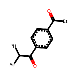 [2H]C(C(C)=O)C(=O)c1ccc(C(=O)CC)cc1